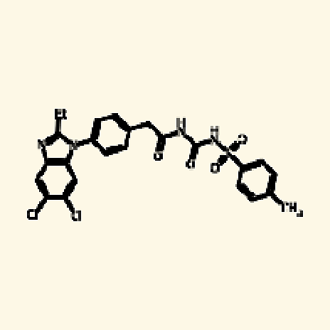 CCc1nc2cc(Cl)c(Cl)cc2n1-c1ccc(CC(=O)NC(=O)NS(=O)(=O)c2ccc(C)cc2)cc1